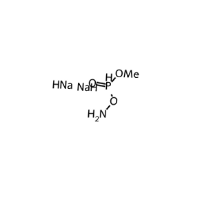 CO[PH](=O)ON.[NaH].[NaH]